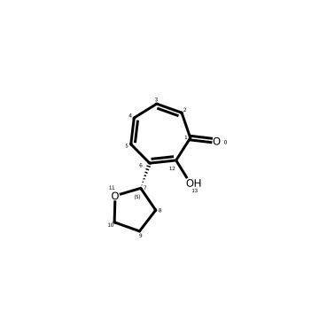 O=c1ccccc([C@@H]2CCCO2)c1O